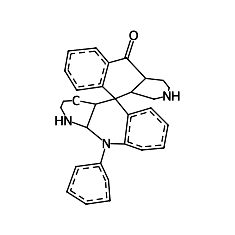 O=C1c2ccccc2C2(c3ccccc3N(c3ccccc3)C3NCCCC32)C2CNCCC12